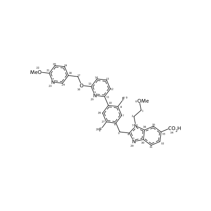 COCCn1c(Cc2cc(F)c(-c3cccc(OCc4ccc(OC)nc4)n3)cc2F)nc2ccc(C(=O)O)cc21